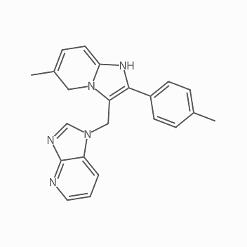 CC1=CC=C2NC(c3ccc(C)cc3)=C(Cn3cnc4ncccc43)N2C1